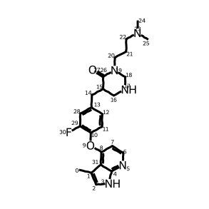 Cc1c[nH]c2nccc(Oc3ccc(CC4CNCN(CCCN(C)C)C4=O)cc3F)c12